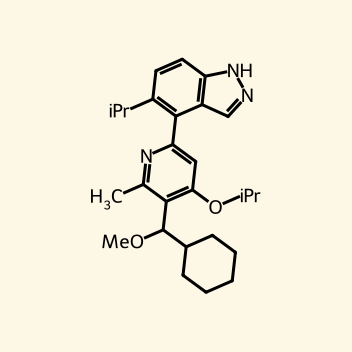 COC(c1c(OC(C)C)cc(-c2c(C(C)C)ccc3[nH]ncc23)nc1C)C1CCCCC1